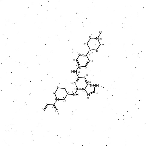 C=CC(=O)N1CCCC(Nc2nc(Nc3ccc(N4CCN(C)CC4)cc3)nc3[nH]cnc23)C1